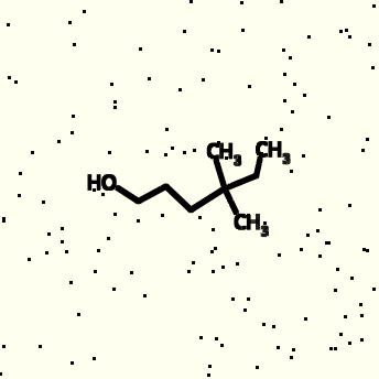 CCC(C)(C)CCCO